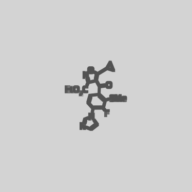 CCOC(=O)c1noc(C2CC2)c1C(=O)c1ccc(-n2ccnc2)c(F)c1SC